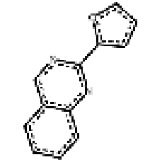 c1coc(-c2ncc3ccccc3n2)c1